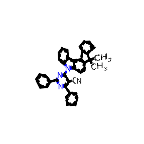 CC1(C)c2ccccc2-c2c1ccc1c2c2ccccc2n1-c1nc(-c2ccccc2)nc(-c2ccccc2)c1C#N